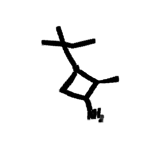 C[C@H]1C(N)CN1C(C)(C)C